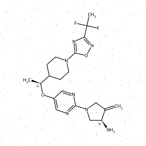 C=C1CN(c2ncc(O[C@@H](C)C3CCN(c4nc(C(C)(F)F)no4)CC3)cn2)C[C@@H]1N